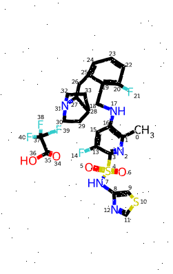 Cc1nc(S(=O)(=O)Nc2cscn2)c(F)cc1NCc1c(F)cccc1CC1C2CCN1CC2.O=C(O)C(F)(F)F